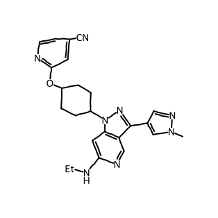 CCNc1cc2c(cn1)c(-c1cnn(C)c1)nn2C1CCC(Oc2cc(C#N)ccn2)CC1